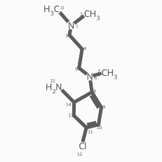 CN(C)CCCN(C)C1=CC=C(Cl)CC1N